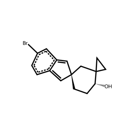 O[C@@H]1CC[C@]2(C=c3ccc(Br)cc3=C2)CC12CC2